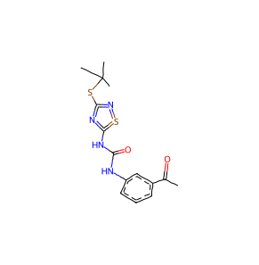 CC(=O)c1cccc(NC(=O)Nc2nc(SC(C)(C)C)ns2)c1